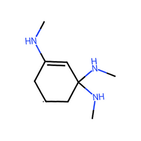 CNC1=CC(NC)(NC)C[CH]C1